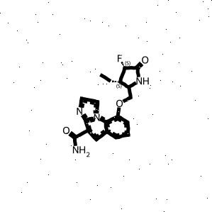 CC[C@H]1C(COc2cccc3cc(C(N)=O)c4nccn4c23)NC(=O)[C@H]1F